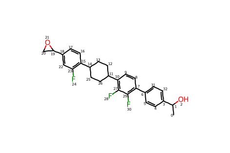 CC(O)c1ccc(-c2ccc(C3CCC(c4ccc(C5CO5)cc4F)CC3)c(F)c2F)cc1